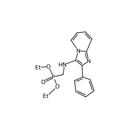 CCOP(=O)(CNc1c(-c2ccccc2)nc2ccccn12)OCC